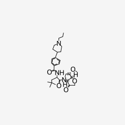 CCCN1CCC(c2ccc(C(=O)NC(CC(C)(C)C)C(=O)N3C[C@H](OC)[C@H]4OCC(=O)[C@H]43)cc2)CC1